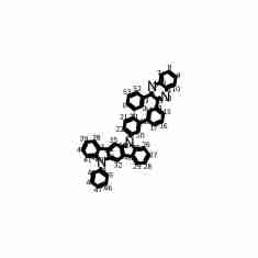 c1ccc(-c2nc3ccccc3nc2-c2cccc(-c3cccc(-n4c5ccccc5c5cc6c(cc54)c4ccccc4n6-c4ccccc4)c3)c2)cc1